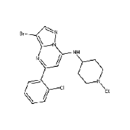 CCN1CCC(Nc2cc(-c3ccccc3Cl)nc3c(Br)cnn23)CC1